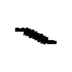 COc1ccc(S(=O)(=O)c2ccc(S(=O)(=O)c3ccc(OC)cc3)cc2)cc1